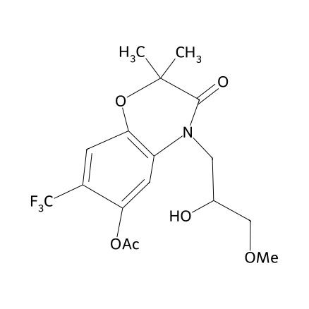 COCC(O)CN1C(=O)C(C)(C)Oc2cc(C(F)(F)F)c(OC(C)=O)cc21